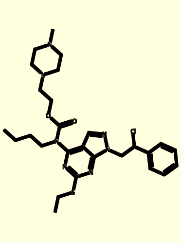 CCCCN(C(=O)OCCN1CCN(C)CC1)c1nc(SCC)nc2c1cnn2CC(Cl)c1ccccc1